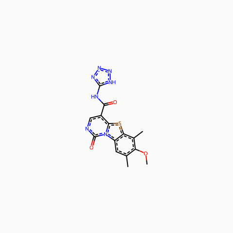 COc1c(C)cc2c(sc3c(C(=O)Nc4nnn[nH]4)cnc(=O)n32)c1C